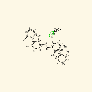 Cc1cccc2c1-c1c(C)ccc(CCc3ccc(C)c4c3Cc3cccc(C)c3-4)c1C2.[Cl-].[Cl-].[Zr+2]